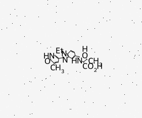 CCn1c(-c2c[nH]c(=O)c(C)c2)nc2cc(CN[C@H](C(=O)O)[C@@H](C)O)ccc21